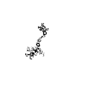 CC1(C)[C@H](NC(=O)c2ccc(N3CCN(CCCOc4ccc5c(c4)C(=O)N(C4CCC(=O)NC4=O)C5=O)CC3)cc2)C(C)(C)[C@H]1Oc1ccc(C#N)c(Cl)c1